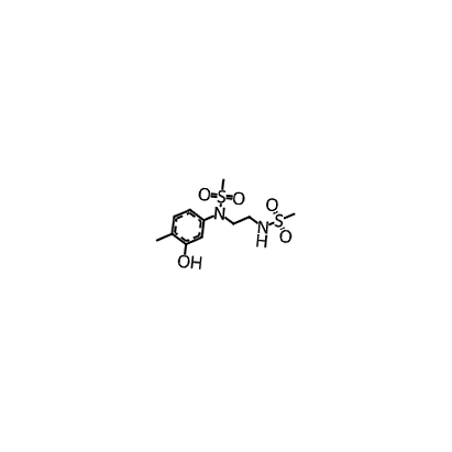 Cc1ccc(N(CCNS(C)(=O)=O)S(C)(=O)=O)cc1O